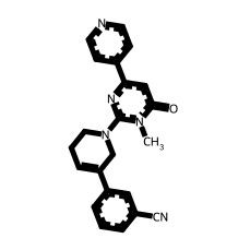 Cn1c(N2CCC=C(c3cccc(C#N)c3)C2)nc(-c2ccncc2)cc1=O